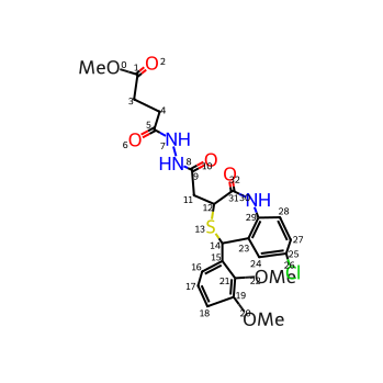 COC(=O)CCC(=O)NNC(=O)CC1SC(c2cccc(OC)c2OC)c2cc(Cl)ccc2NC1=O